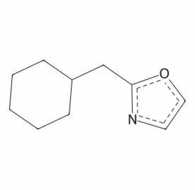 c1coc(CC2CCCCC2)n1